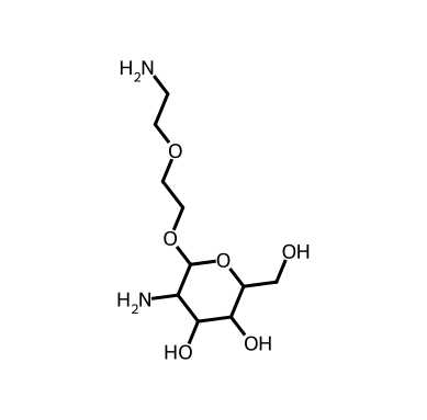 NCCOCCOC1OC(CO)C(O)C(O)C1N